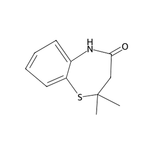 CC1(C)CC(=O)Nc2ccccc2S1